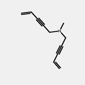 C=CC#CCN(C)CC#CC=C